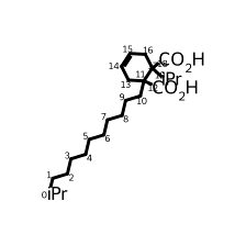 CC(C)CCCCCCCCCCC1(C(=O)O)CC=CCC1(C(=O)O)C(C)C